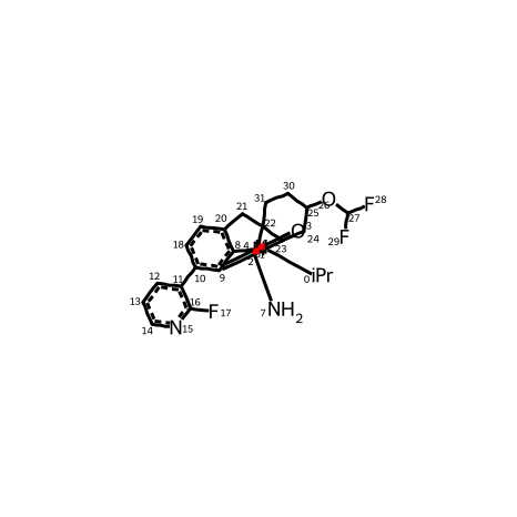 CC(C)N1C(=O)C2(N=C1N)c1cc(-c3cccnc3F)ccc1CC21CCC(OC(F)F)CC1